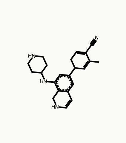 CC1=CC(c2cc3c(c(NC4CCNCC4)c2)CNC=C3)CC=C1C#N